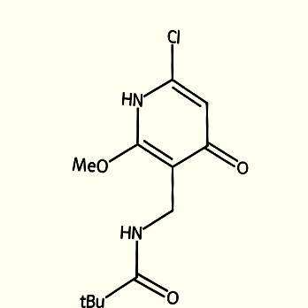 COc1[nH]c(Cl)cc(=O)c1CNC(=O)C(C)(C)C